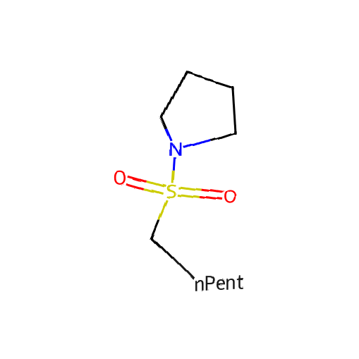 CCCCCCS(=O)(=O)N1CCCC1